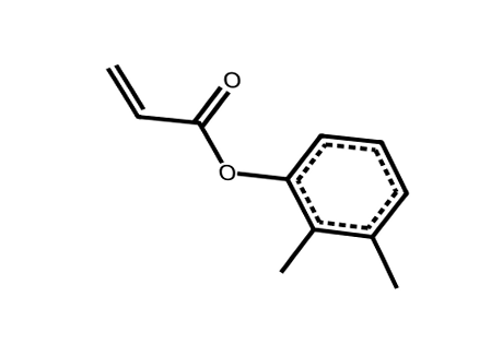 C=CC(=O)Oc1cccc(C)c1C